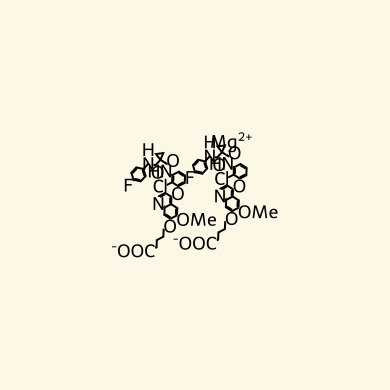 COc1cc2c(Oc3cccc(NC(=O)C4(C(=O)Nc5ccc(F)cc5)CC4)c3Cl)ccnc2cc1OCCCCC(=O)[O-].COc1cc2c(Oc3cccc(NC(=O)C4(C(=O)Nc5ccc(F)cc5)CC4)c3Cl)ccnc2cc1OCCCCC(=O)[O-].[Mg+2]